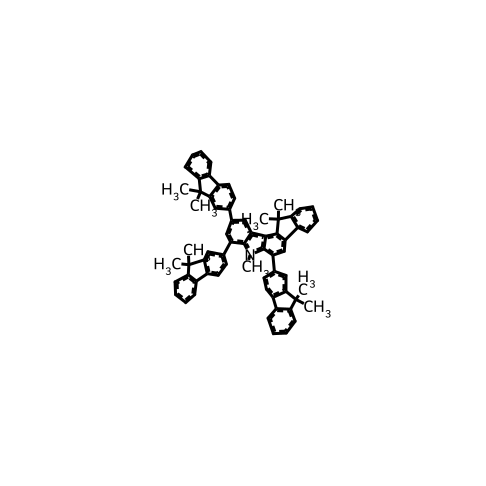 Cn1c2c(-c3ccc4c(c3)C(C)(C)c3ccccc3-4)cc(-c3ccc4c(c3)C(C)(C)c3ccccc3-4)cc2c2c3c(cc(-c4ccc5c(c4)C(C)(C)c4ccccc4-5)c21)-c1ccccc1C3(C)C